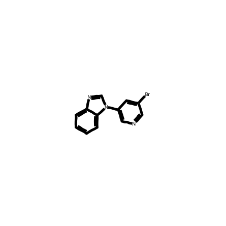 Brc1cncc(-n2cnc3ccccc32)c1